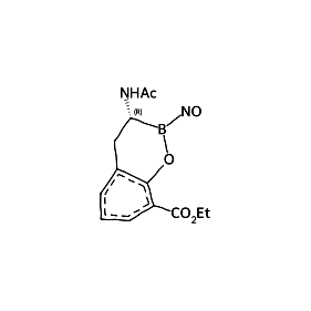 CCOC(=O)c1cccc2c1OB(N=O)[C@@H](NC(C)=O)C2